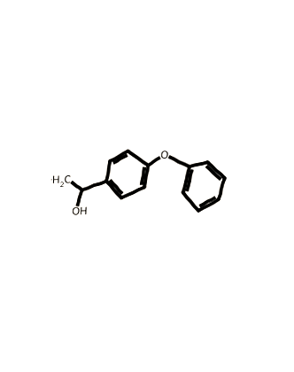 [CH2]C(O)c1ccc(Oc2ccccc2)cc1